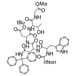 CCCCCCCCCC(=O)NC(Cc1c[nH]c2ccccc12)C(=O)NC(CC(=O)NC(c1ccccc1)(c1ccccc1)c1ccccc1)C(=O)NC(CC(=O)OC(C)(C)C)C(=O)NC(C(=O)NCC(=O)OC)C(C)O